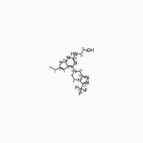 CCc1cc2c(N3CCn4c(nnc4C(F)(F)F)C3)nc(NCCO)nc2s1